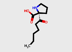 CCCCCC(=O)[C@@]1(C(=O)O)CCCN1